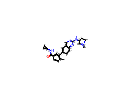 Cc1ccc(C(=O)NC2CC2)cc1-c1ccc2nc(NC3CCN(C)C3)ncc2c1